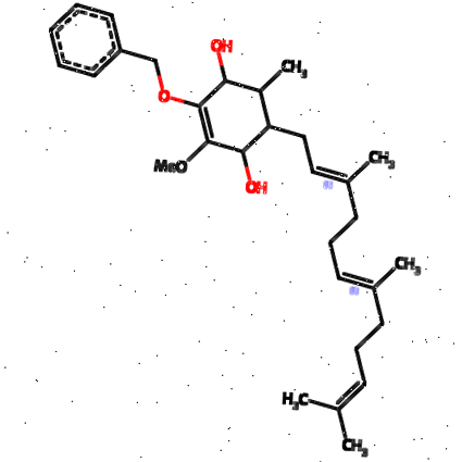 COC1=C(OCc2ccccc2)C(O)C(C)C(C/C=C(\C)CC/C=C(\C)CCC=C(C)C)C1O